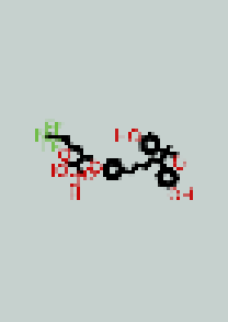 CC1(c2ccc(O)cc2)COc2cc(O)ccc2C1CCCCc1ccc(OCC(CCCC(F)(F)C(F)(F)F)C(C(=O)O)C(=O)O)cc1